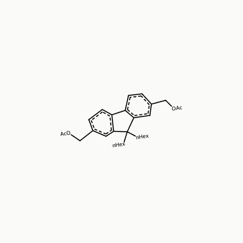 CCCCCCC1(CCCCCC)c2cc(COC(C)=O)ccc2-c2ccc(COC(C)=O)cc21